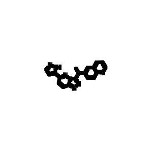 CC(c1ccc2ncccc2c1)c1nnc2ccc(-c3ccn[nH]3)nn12